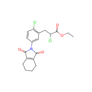 CCOC(=O)C(Cl)Cc1cc(N2C(=O)C3=C(CCCC3)C2=O)ccc1Cl